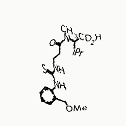 COCc1ccccc1NC(=S)NCCC(=O)N(C)C(C(=O)O)C(C)C